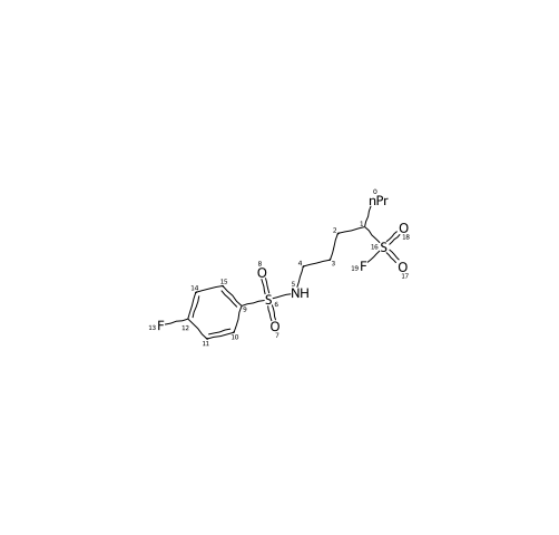 CCCC(CCCNS(=O)(=O)c1ccc(F)cc1)S(=O)(=O)F